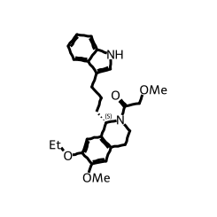 CCOc1cc2c(cc1OC)CCN(C(=O)COC)[C@H]2CCCc1c[nH]c2ccccc12